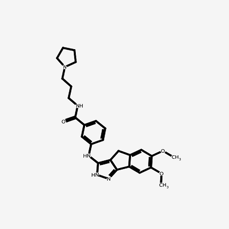 COc1cc2c(cc1OC)-c1n[nH]c(Nc3cccc(C(=O)NCCCN4CCCC4)c3)c1C2